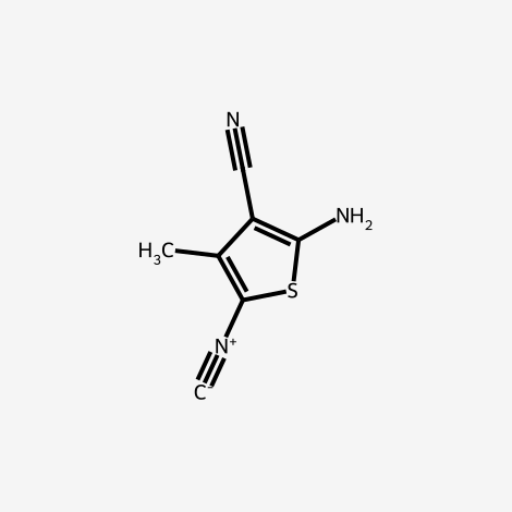 [C-]#[N+]c1sc(N)c(C#N)c1C